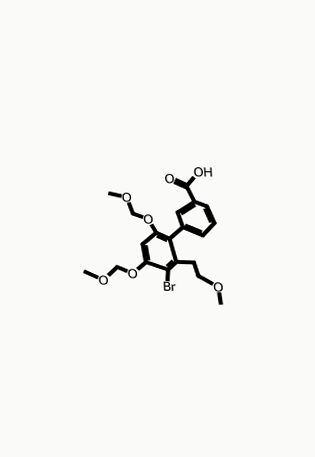 COCCc1c(Br)c(OCOC)cc(OCOC)c1-c1cccc(C(=O)O)c1